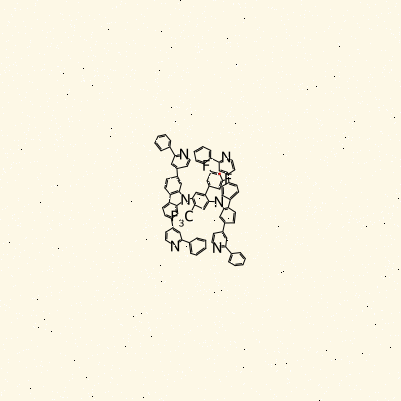 Fc1cc(F)cc(-c2cc(-n3c4cc(-c5ccnc(-c6ccccc6)c5)ccc4c4ccc(-c5ccnc(-c6ccccc6)c5)cc43)c(C(F)(F)F)cc2-n2c3cc(-c4ccnc(-c5ccccc5)c4)ccc3c3ccc(-c4ccnc(-c5ccccc5)c4)cc32)c1